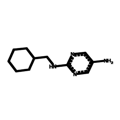 Nc1cnc(NCC2CCCCC2)nc1